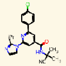 CC(C)c1nccn1-c1cc(C(=O)NC(C)(C)C#N)cc(-c2ccc(Cl)cc2)n1